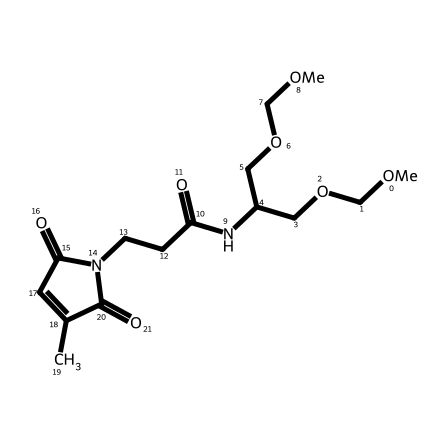 COCOCC(COCOC)NC(=O)CCN1C(=O)C=C(C)C1=O